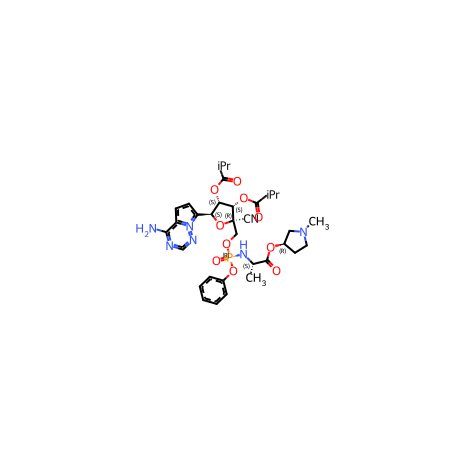 CC(C)C(=O)O[C@H]1[C@H](c2ccc3c(N)ncnn23)O[C@](C#N)(CO[P@](=O)(N[C@@H](C)C(=O)O[C@@H]2CCN(C)C2)Oc2ccccc2)[C@H]1OC(=O)C(C)C